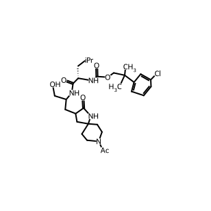 CC(=O)N1CCC2(CC1)CC(CC(CO)NC(=O)[C@H](CC(C)C)NC(=O)OCC(C)(C)c1cccc(Cl)c1)C(=O)N2